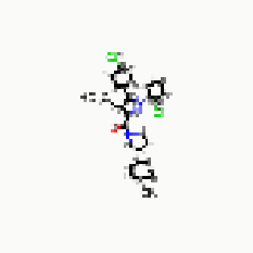 O=C(O)Cc1c(C(=O)N2CCC(c3ccc(C(F)(F)F)cc3)C2)nn(-c2ccccc2Cl)c1-c1ccc(Cl)cc1